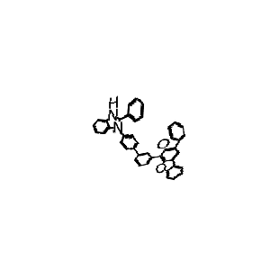 c1ccc(C2Nc3ccccc3N2c2ccc(-c3cccc(-c4c5oc6ccccc6c5cc5c4oc4ccccc45)c3)cc2)cc1